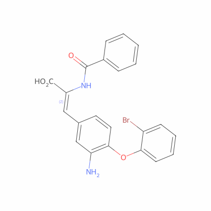 Nc1cc(/C=C(\NC(=O)c2ccccc2)C(=O)O)ccc1Oc1ccccc1Br